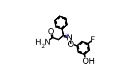 NC(=O)C/C(=N\Oc1cc(O)cc(F)c1)c1ccccc1